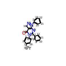 CC(C)c1ccc(-n2c(-c3ccccc3)nc3c(cnn3-c3ccccc3)c2=O)cc1